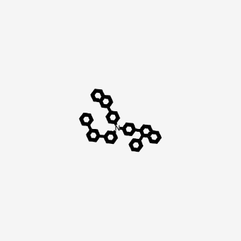 c1ccc(-c2cccc(-c3cccc(N(c4ccc(-c5ccc6ccccc6c5)cc4)c4ccc(-c5ccc6ccccc6c5-c5ccccc5)cc4)c3)c2)cc1